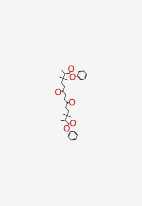 CC(C(=O)Oc1ccccc1)C(C)(C)CCC(=O)CCC(=O)CCC(C)(C)C(C)C(=O)Oc1ccccc1